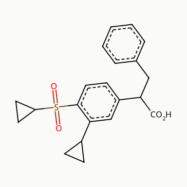 O=C(O)C(Cc1ccccc1)c1ccc(S(=O)(=O)C2CC2)c(C2CC2)c1